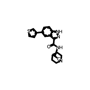 O=C(NC1CN2CCC1CC2)c1n[nH]c2ccc(-c3ccsc3)cc12